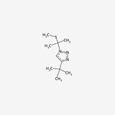 CSC(C)(C)n1cc(C(C)(C)C)nn1